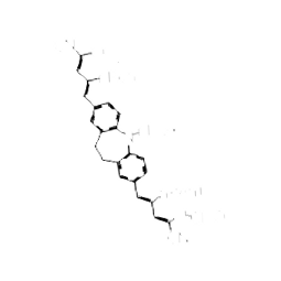 [C-]#[N+]/C(=C/C(=C/c1ccc2c(c1)CCc1cc(/C=C(/C=C(/C#N)OC=O)CCCCC)ccc1N2CCCCCC)CCCCC)C(=O)O